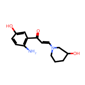 Nc1ccc(O)cc1C(=O)C=CN1CCCC(O)C1